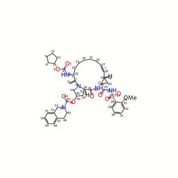 C=C1[C@@H](NC(=O)OC2CCCC2)CCCCC/C=C\[C@@H]2C[C@@]2(C(=O)NS(=O)(=O)c2ccccc2OC)NC(=O)[C@@H]2C[C@@H](OC(=O)N3CCc4ccccc4C3)CN12